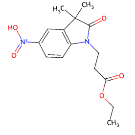 CCOC(=O)CCN1C(=O)C(C)(C)c2cc([N+](=O)O)ccc21